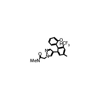 CNC(=O)Cn1cc(-c2cc(C)cc(C(F)(F)F)c2-c2ccccc2O)cn1